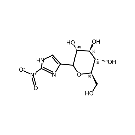 O=[N+]([O-])c1nc(C2O[C@H](CO)[C@@H](O)[C@H](O)[C@H]2O)c[nH]1